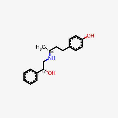 C[C@H](CCc1ccc(O)cc1)NC[C@H](O)c1ccccc1